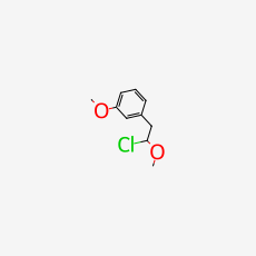 COc1cccc(CC(Cl)OC)c1